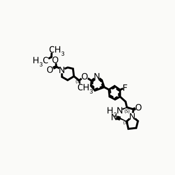 CC(C)OC(=O)N1CCC([C@H](C)Oc2ccc(-c3ccc(C[C@H](N)C(=O)N4CCC[C@H]4C#N)c(F)c3)cn2)CC1